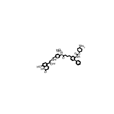 Cl.Cl.NC1CCC(OC(=O)Nc2cc(CCCC(=O)Nc3ccc(CNC[C@H](O)c4ccc(O)c5[nH]c(=O)ccc45)nc3)ccc2-c2ccccc2)CC1